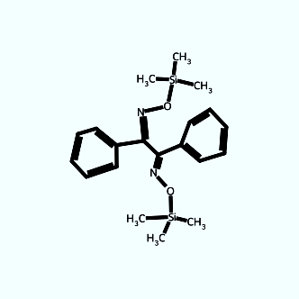 C[Si](C)(C)ON=C(C(=NO[Si](C)(C)C)c1ccccc1)c1ccccc1